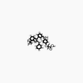 COC(=O)C(C)(C)Oc1ccc(Nc2cccc(-c3c4cccc(C(F)(F)F)c4nn3Cc3ccccc3)c2)cc1